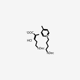 CCCCCCCCCCCC/C=C(\C)C(=O)[O-].CCCCCCCCCCCCCC[n+]1ccc(C)cc1.Cl